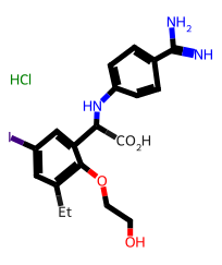 CCc1cc(I)cc(C(Nc2ccc(C(=N)N)cc2)C(=O)O)c1OCCO.Cl